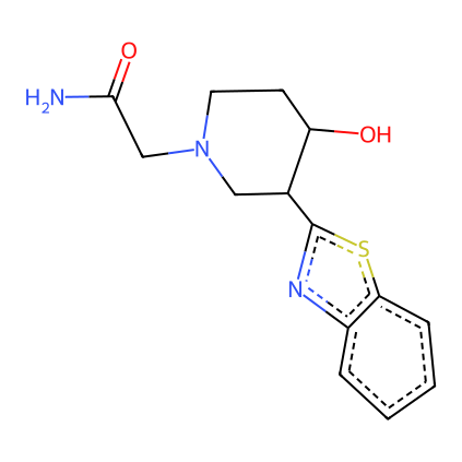 NC(=O)CN1CCC(O)C(c2nc3ccccc3s2)C1